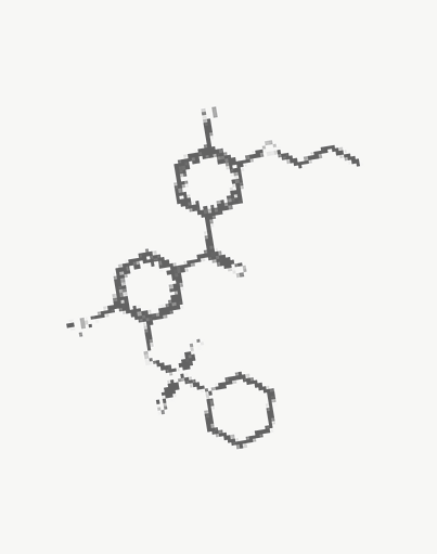 CCCOc1cc(C(=O)c2ccc(N)c(NS(=O)(=O)N3CCCCC3)c2)ccc1Cl